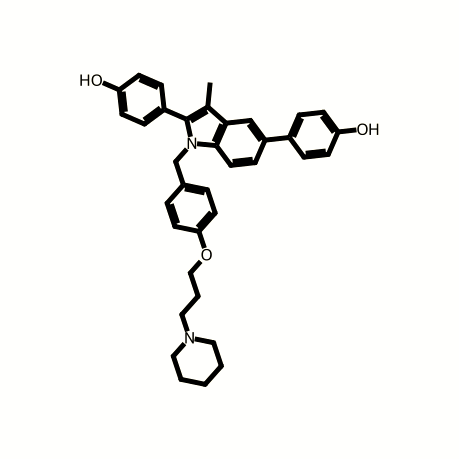 Cc1c(-c2ccc(O)cc2)n(Cc2ccc(OCCCN3CCCCC3)cc2)c2ccc(-c3ccc(O)cc3)cc12